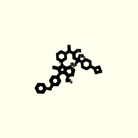 CC(C)(C=C(C#N)C(=O)N1CCC[C@@H](n2c(=O)n(-c3ccc(Oc4ccccc4)cc3)c3c(N)ncnc32)C1)N1CCN(C2COC2)CC1